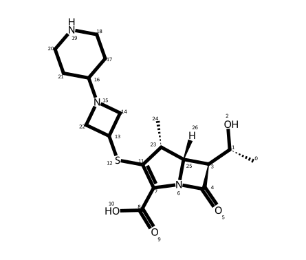 C[C@@H](O)[C@H]1C(=O)N2C(C(=O)O)=C(SC3CN(C4CCNCC4)C3)[C@H](C)[C@H]12